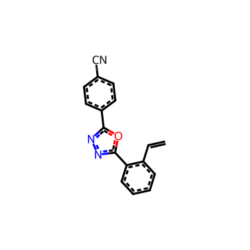 C=Cc1ccccc1-c1nnc(-c2ccc(C#N)cc2)o1